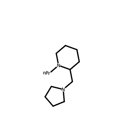 CCCN1CCCCC1CN1CCCC1